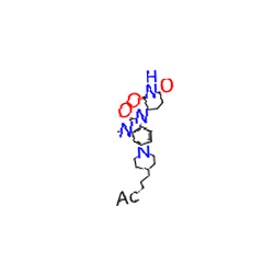 CC(=O)CCCC1CCN(c2ccc3c(c2)n(C)c(=O)n3C2CCC(=O)NC2=O)CC1